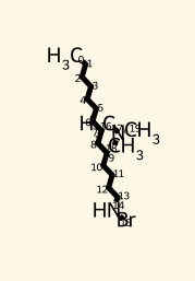 CCCCCCCCCCCCCCNBr.CN(C)C